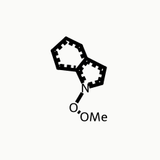 COOn1ccc2ccccc21